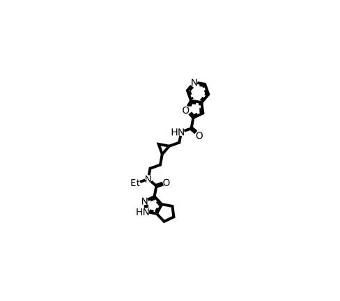 CCN(CCC1CC1CNC(=O)c1cc2ccncc2o1)C(=O)c1n[nH]c2c1CCC2